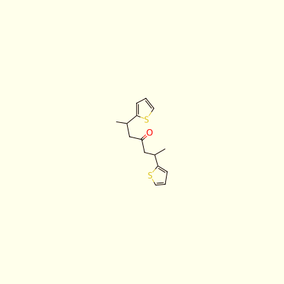 CC(CC(=O)CC(C)c1cccs1)c1cccs1